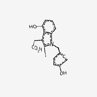 O=C(O)Cc1c(I)n(Cc2ccc(O)cc2)c2cccc(O)c12